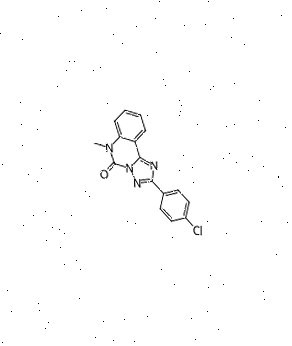 Cn1c(=O)n2nc(-c3ccc(Cl)cc3)nc2c2ccccc21